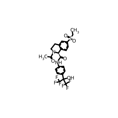 CCS(=O)(=O)c1ccc2c(c1)CCN(C(C)=O)[C@@H]2C(=O)Nc1ccc(C(O)(C(F)(F)F)C(F)(F)F)cc1